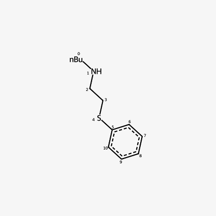 CCCCNCCSc1ccccc1